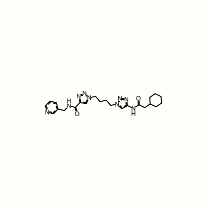 O=C(CC1CCCCC1)Nc1cn(CCCCn2cc(C(=O)NCc3cccnc3)nn2)nn1